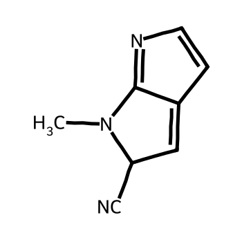 CN1C2=NC=CC2=CC1C#N